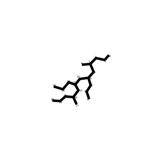 C[CH]CC(C)CC(CCC)CC(CCC)CC(C)C[CH]C